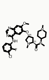 COc1cc2ncnc(Nc3cccc(Cl)c3F)c2cc1O[C@@H]1C[C@@H](C(=O)N(C)C2CCN(C)CC2)N(C)C1